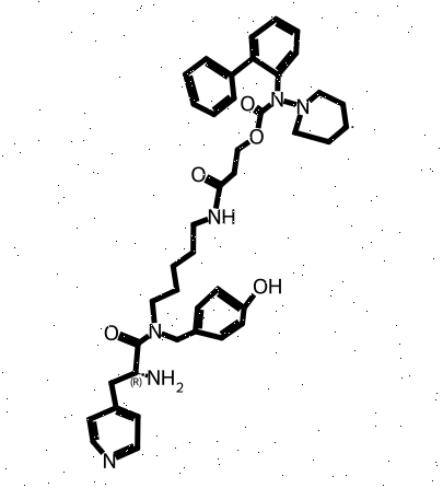 N[C@H](Cc1ccncc1)C(=O)N(CCCCCNC(=O)CCOC(=O)N(c1ccccc1-c1ccccc1)N1CC[CH]CC1)Cc1ccc(O)cc1